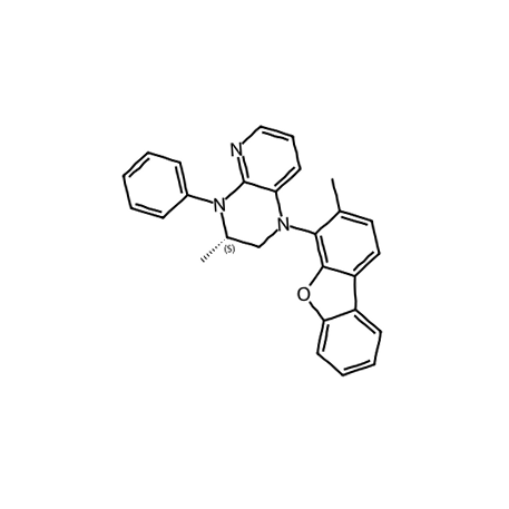 Cc1ccc2c(oc3ccccc32)c1N1C[C@H](C)N(c2ccccc2)c2ncccc21